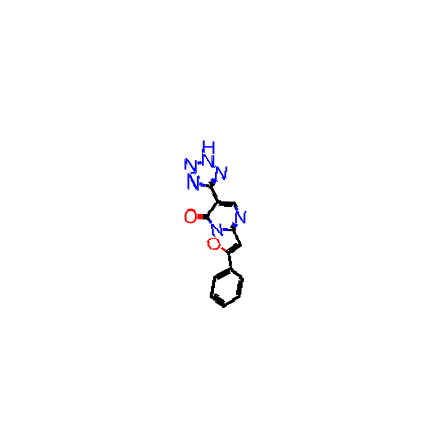 O=c1c(-c2nn[nH]n2)cnc2cc(-c3ccccc3)on12